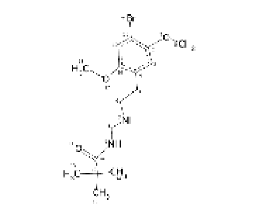 COc1cc(CCNCNC(=O)C(C)(C)C)c(OC)cc1Br